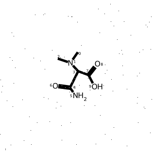 CN(C)C(C(N)=O)C(=O)O